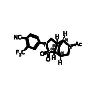 CC(=O)N1C[C@@H]2CC[C@H]1[C@H]1CN(c3ccc(C#N)c(C(F)(F)F)c3)S(=O)(=O)[C@@H]21